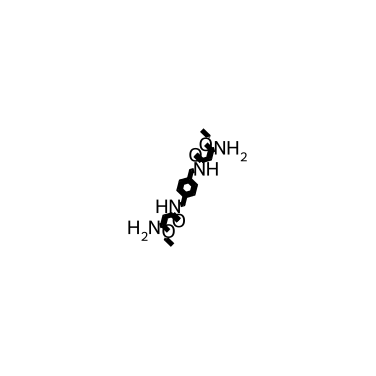 CCOC(N)=CC(=O)NCc1ccc(CNC(=O)C=C(N)OCC)cc1